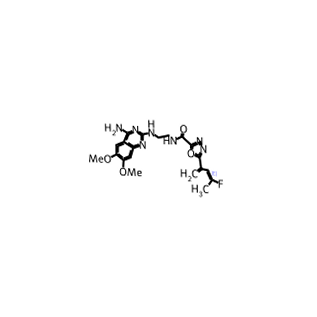 C=C(/C=C(\C)F)c1nnc(C(=O)NCCNc2nc(N)c3cc(OC)c(OC)cc3n2)o1